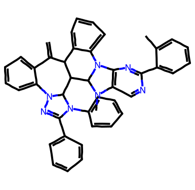 C=C1c2ccccc2N2N=C(c3ccccc3)N(c3ccccc3)C2C2C1c1ccccc1N1c3nc(-c4ccccc4C)ncc3N(C)C21